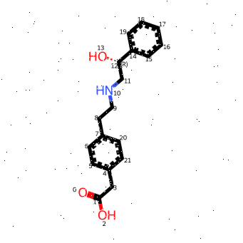 O=C(O)Cc1ccc(CCNC[C@H](O)c2ccccc2)cc1